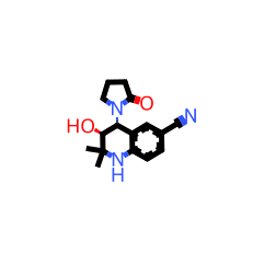 CC1(C)Nc2ccc(C#N)cc2[C@@H](N2CCCC2=O)[C@@H]1O